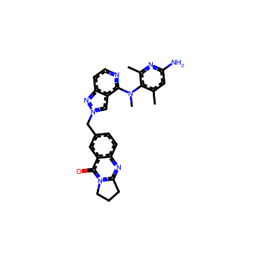 Cc1cc(N)nc(C)c1N(C)c1nccc2nn(Cc3ccc4nc5n(c(=O)c4c3)CCC5)cc12